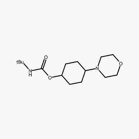 CC(C)(C)NC(=O)OC1CCC(N2CCOCC2)CC1